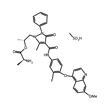 COc1ccc2c(Oc3ccc(NC(=O)c4c(C)n(C[C@@H](C)OC(=O)[C@H](C)N)n(-c5ccccc5)c4=O)cc3F)ccnc2c1.CS(=O)(=O)O